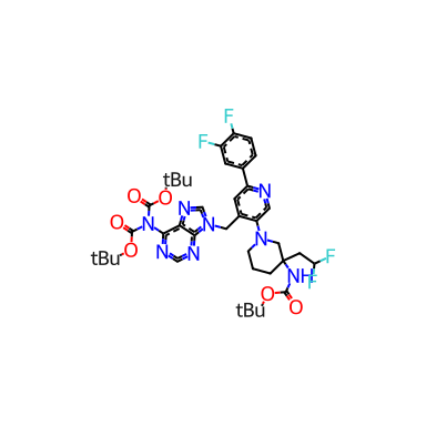 CC(C)(C)OC(=O)NC1(CC(F)F)CCCN(c2cnc(-c3ccc(F)c(F)c3)cc2Cn2cnc3c(N(C(=O)OC(C)(C)C)C(=O)OC(C)(C)C)ncnc32)C1